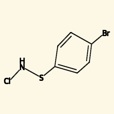 ClNSc1ccc(Br)cc1